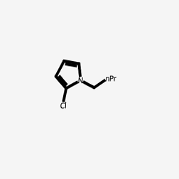 CCCCn1cccc1Cl